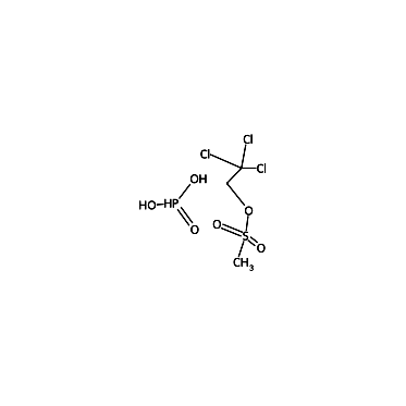 CS(=O)(=O)OCC(Cl)(Cl)Cl.O=[PH](O)O